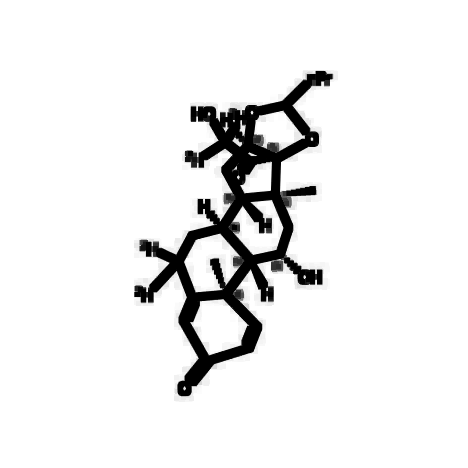 [2H]C([2H])(O)C(=O)[C@@]12OC(CCC)O[C@@H]1C[C@H]1[C@@H]3CC([2H])([2H])C4=CC(=O)C=C[C@]4(C)[C@H]3[C@@H](O)C[C@@]12C